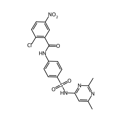 Cc1cc(NS(=O)(=O)c2ccc(NC(=O)c3cc([N+](=O)[O-])ccc3Cl)cc2)nc(C)n1